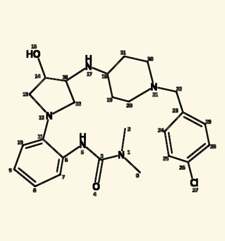 CN(C)C(=O)Nc1ccccc1N1CC(O)C(NC2CCN(Cc3ccc(Cl)cc3)CC2)C1